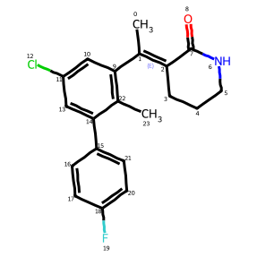 C/C(=C1/CCCNC1=O)c1cc(Cl)cc(-c2ccc(F)cc2)c1C